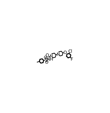 Cc1ccc(S(=O)(=O)NC(=O)N2CCC(N3CCC(Oc4ccc(F)cc4Cl)CC3)CC2)cc1